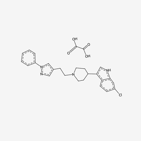 Clc1ccc2c(C3CCN(CCc4cnn(-c5ccccc5)c4)CC3)c[nH]c2c1.O=C(O)C(=O)O